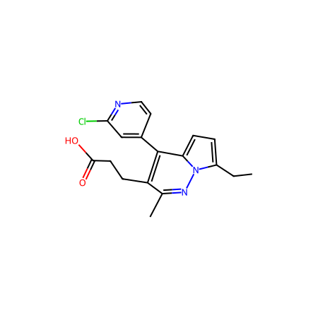 CCc1ccc2c(-c3ccnc(Cl)c3)c(CCC(=O)O)c(C)nn12